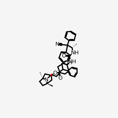 C[C@H](NC(=O)NC1CCC(CCN2[C@@]3(C)CC[C@@]2(C)CC(OC(=O)C(CO)c2ccccc2)C3)CC1)C(C#N)(c1ccccc1)c1ccccc1